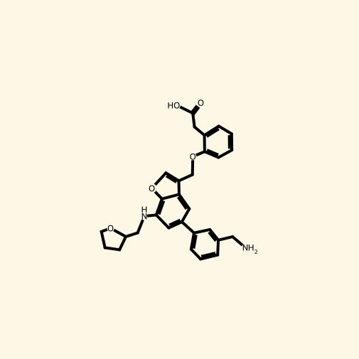 NCc1cccc(-c2cc(NCC3CCCO3)c3occ(COc4ccccc4CC(=O)O)c3c2)c1